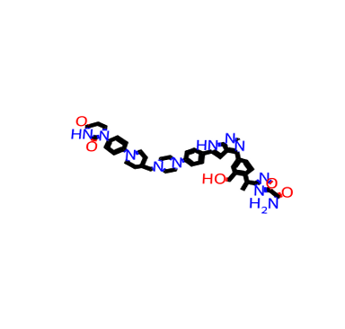 CC(c1noc(C(N)=O)n1)c1ccc(-c2ncnc3[nH]c(-c4ccc(N5CCN(CC6CCN(c7ccc(N8CCC(=O)NC8=O)cc7)CC6)CC5)cc4)cc23)cc1CO